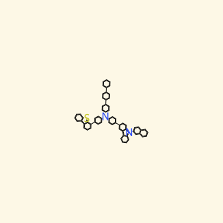 c1ccc(-c2ccc(-c3ccc(N(c4ccc(-c5ccc6c(c5)c5ccccc5n6-c5ccc6ccccc6c5)cc4)c4ccc(-c5cccc6c5sc5ccccc56)cc4)cc3)cc2)cc1